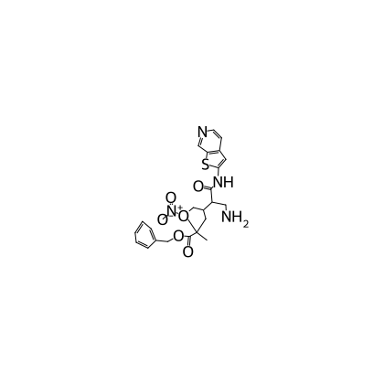 CC(C)(CC(CO[N+](=O)[O-])C(CN)C(=O)Nc1cc2ccncc2s1)C(=O)OCc1ccccc1